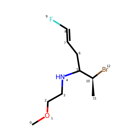 COCCNC(C/C=C/F)[C@H](C)Br